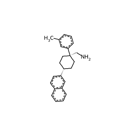 Cc1cccc([C@]2(CN)CC[C@@H](c3ccc4ccccc4c3)CC2)c1